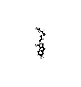 CC(=O)c1ccn2c3c(cc2c1)CN(CCCNC(=O)OC(C)(C)C)C3=O